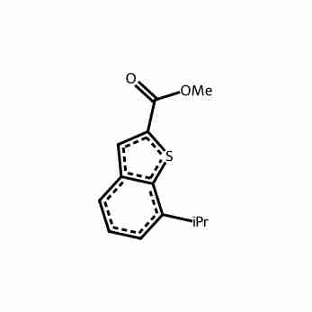 COC(=O)c1cc2cccc(C(C)C)c2s1